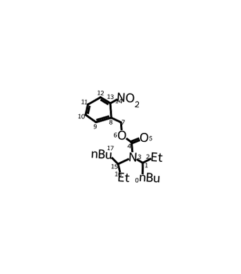 CCCCC(CC)N(C(=O)OCc1ccccc1[N+](=O)[O-])C(CC)CCCC